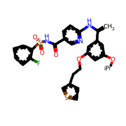 C=C(Nc1ccc(C(=O)NS(=O)(=O)c2ccccc2F)cn1)c1cc(OCCc2ccsc2)cc(OC(C)C)c1